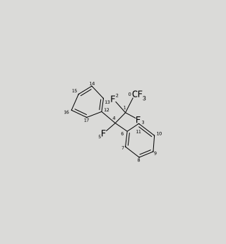 FC(F)(F)C(F)(F)C(F)(c1ccccc1)c1ccccc1